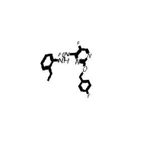 CCc1ccccc1NNc1nc(OCc2ccc(F)cc2)ncc1F